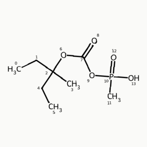 CCC(C)(CC)OC(=O)OP(C)(=O)O